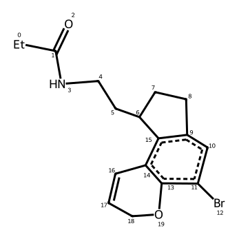 CCC(=O)NCCC1CCc2cc(Br)c3c(c21)C=CCO3